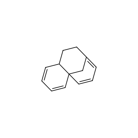 C1=CC2CCC3=CC=CC2(C=C1)C3